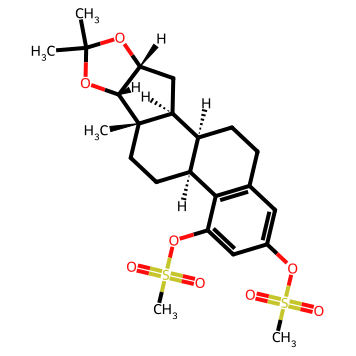 CC1(C)O[C@@H]2[C@@H](C[C@H]3[C@H]4CCc5cc(OS(C)(=O)=O)cc(OS(C)(=O)=O)c5[C@H]4CC[C@]23C)O1